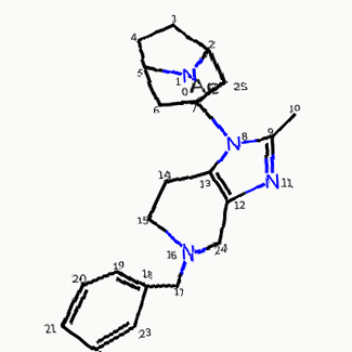 CC(=O)N1C2CCC1CC(n1c(C)nc3c1CCN(Cc1ccccc1)C3)C2